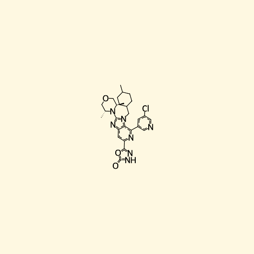 CC1CCC(Cn2c(N3[C@H](C)COC[C@H]3C)nc3cc(-c4n[nH]c(=O)o4)nc(-c4cncc(Cl)c4)c32)CC1